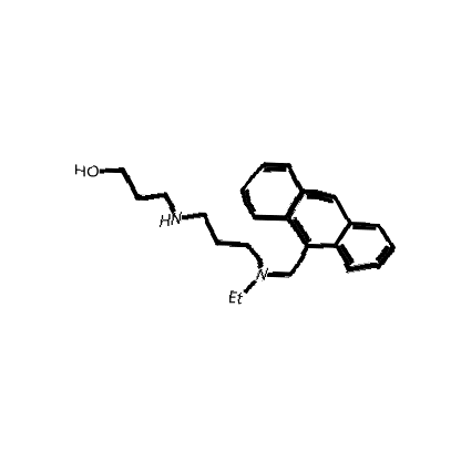 CCN(CCCNCCCO)Cc1c2ccccc2cc2ccccc12